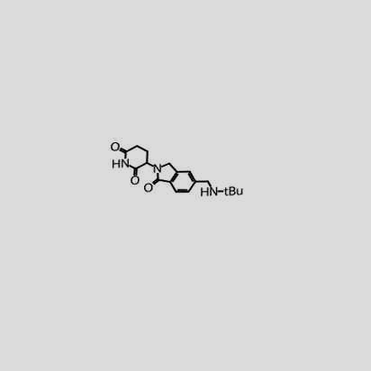 CC(C)(C)NCc1ccc2c(c1)CN(C1CCC(=O)NC1=O)C2=O